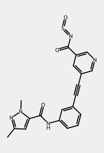 Cc1cc(C(=O)Nc2cccc(C#Cc3cncc(C(=O)N=S=O)c3)c2)n(C)n1